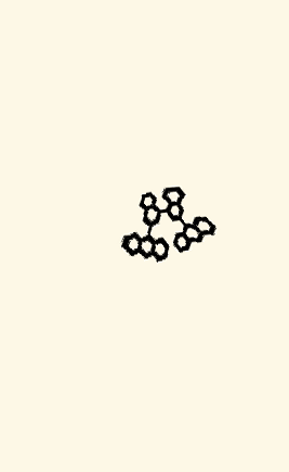 c1ccc2c(-c3cc(-c4c5ccccc5cc5ccccc45)cc4ccccc34)cc(-c3c4ccccc4cc4ccccc34)cc2c1